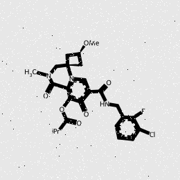 CO[C@H]1C[C@@]2(CN(C)C(=O)c3c(OC(=O)C(C)C)c(=O)c(C(=O)NCc4cccc(Cl)c4F)cn32)C1